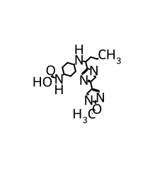 CCCC(N[C@H]1CC[C@H](NC(=O)O)CC1)c1cnc(-c2cnc(OC)nc2)cn1